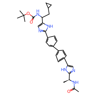 CC(=O)N[C@@H](C)c1ncc(-c2ccc(-c3ccc(-c4ncc(C(CC5CC5)NC(=O)OC(C)(C)C)[nH]4)cc3)cc2)[nH]1